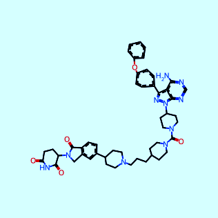 Nc1ncnc2c1c(-c1ccc(Oc3ccccc3)cc1)nn2C1CCN(C(=O)N2CCC(CCCN3CCC(c4ccc5c(c4)CN(C4CCC(=O)NC4=O)C5=O)CC3)CC2)CC1